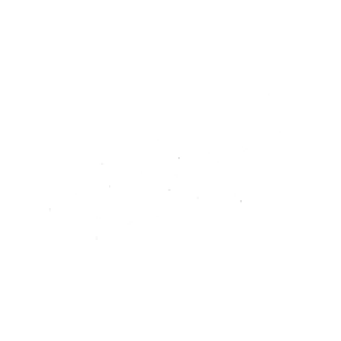 CC(C)=CC(=O)OC(C)CC(C(=O)O)c1ccc(-c2ccccc2)c(F)c1